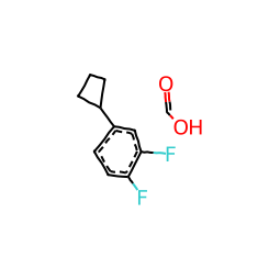 Fc1ccc(C2CCC2)cc1F.O=CO